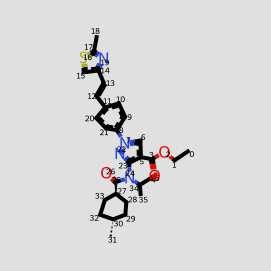 CCOC(=O)c1cn(-c2ccc(/C=C/c3csc(C)n3)cc2)nc1N(C(=O)[C@H]1CC[C@H](C)CC1)C(C)C